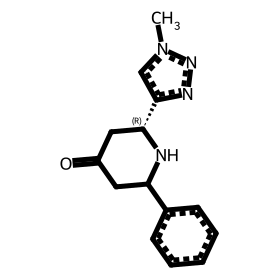 Cn1cc([C@H]2CC(=O)CC(c3ccccc3)N2)nn1